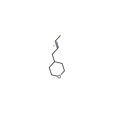 C/C=C/CC1CCOCC1